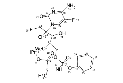 COC(COP(=O)(NC(C)C(=O)OC(C)C)Oc1ccccc1)C(O)C(Cl)(CF)n1cc(F)c(N)nc1=O